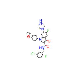 COc1ccc(-n2cc(C(=O)NCc3cc(Cl)ccc3F)c(=O)c3cc(F)c(N4CCNCC4)cc32)cc1